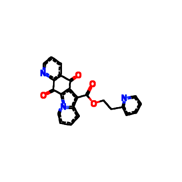 O=C1c2cccnc2C(=O)c2c1c(C(=O)OCCc1ccccn1)c1ccccn21